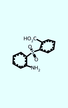 Nc1ccccc1S(=O)(=O)c1ccccc1C(=O)O